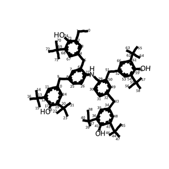 CCc1cc(Cc2cc(Cc3cc(C(C)(C)C)c(O)c(C(C)(C)C)c3)ccc2Nc2ccc(Cc3cc(C(C)(C)C)c(O)c(C(C)(C)C)c3)cc2Cc2cc(C(C)(C)C)c(O)c(C(C)(C)C)c2)cc(C(C)(C)C)c1O